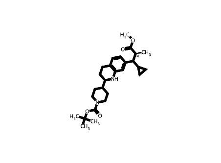 COC(=O)[C@@H](C)C(c1ccc2c(c1)NC(C1CCN(C(=O)OC(C)(C)C)CC1)CC2)C1CC1